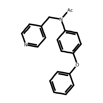 CC(=O)N(Cc1ccncc1)c1ccc(Oc2ccccc2)cc1